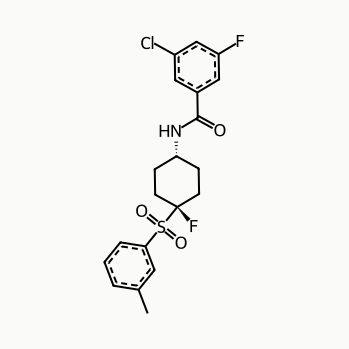 Cc1cccc(S(=O)(=O)[C@]2(F)CC[C@H](NC(=O)c3cc(F)cc(Cl)c3)CC2)c1